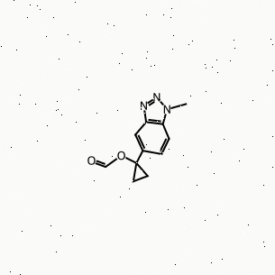 Cn1nnc2cc(C3(OC=O)CC3)ccc21